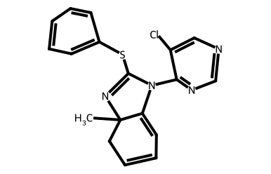 CC12CC=CC=C1N(c1ncncc1Cl)C(Sc1ccccc1)=N2